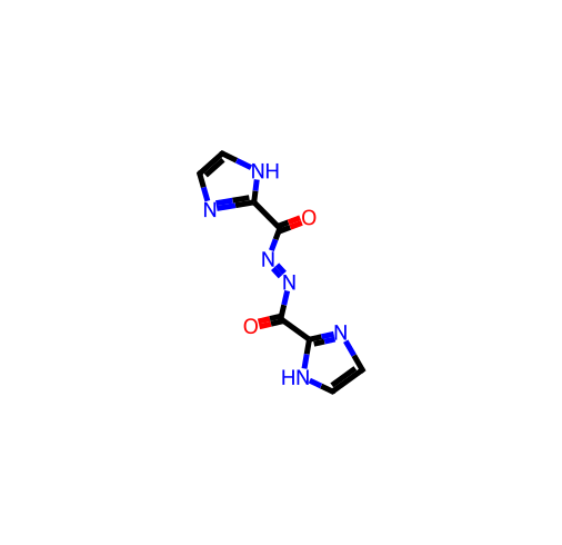 O=C(N=NC(=O)c1ncc[nH]1)c1ncc[nH]1